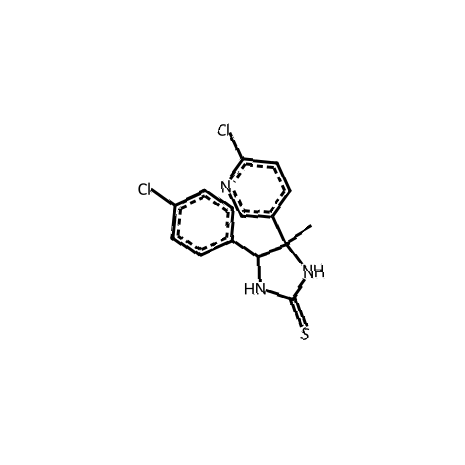 CC1(c2ccc(Cl)nc2)NC(=S)NC1c1ccc(Cl)cc1